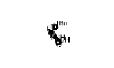 CC(C)(C)c1ccc(-c2c(F)cc3cnc(N[C@@H]4CCOC[C@H]4O)nn23)nc1